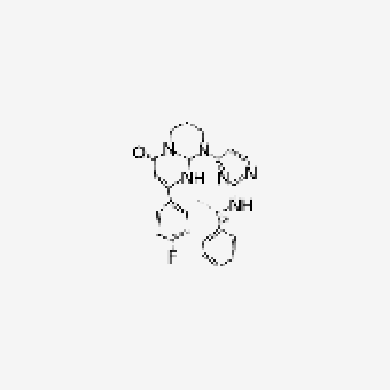 C[C@H](Nc1nccc(N2CCCN3C(=O)C=C(c4ccc(F)cc4)NC32)n1)c1ccccc1